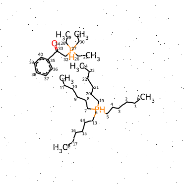 CCCCCC[PH](CCCCCC)(CCCCCC)CCCCCC.CC[PH](CC)(CC)CC(=O)c1ccccc1